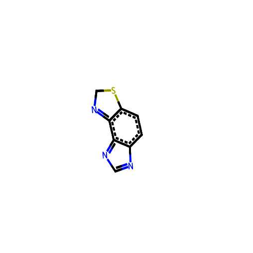 C1=Nc2ccc3c(c2=N1)=NCS3